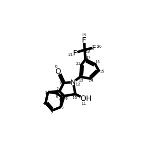 O=C1C2C3C=CC(CC3)C2C(O)N1c1cccc(C(F)(F)F)c1